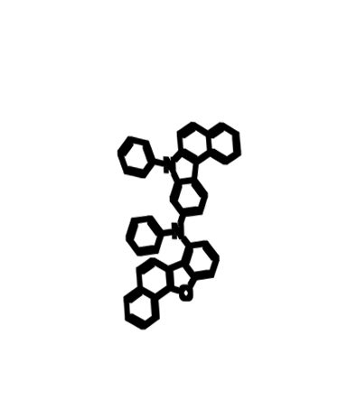 c1ccc(N(c2ccc3c4c5ccccc5ccc4n(-c4ccccc4)c3c2)c2cccc3oc4c5ccccc5ccc4c23)cc1